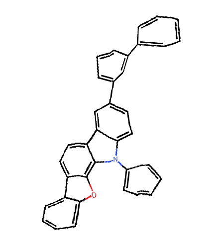 c1ccc(-c2cccc(-c3ccc4c(c3)c3ccc5c6ccccc6oc5c3n4-c3ccccc3)c2)cc1